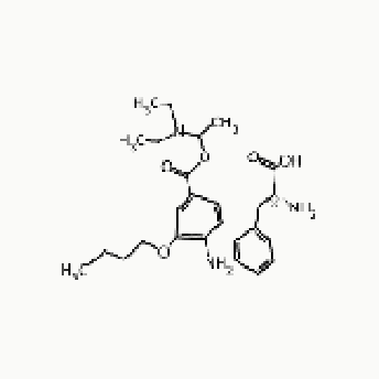 CCCCOc1cc(C(=O)OC(C)N(CC)CC)ccc1N.N[C@H](Cc1ccccc1)C(=O)O